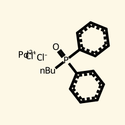 CCCCP(=O)(c1ccccc1)c1ccccc1.[Cl-].[Cl-].[Pd+2]